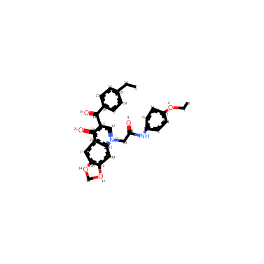 CCOc1ccc(NC(=O)Cn2cc(C(=O)c3ccc(CC)cc3)c(=O)c3cc4c(cc32)OCO4)cc1